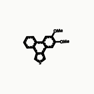 COc1cc2c3ccccc3c3cscc3c2cc1OC